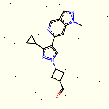 Cn1ncc2cnc(-c3cn([C@H]4C[C@H](C=O)C4)nc3C3CC3)cc21